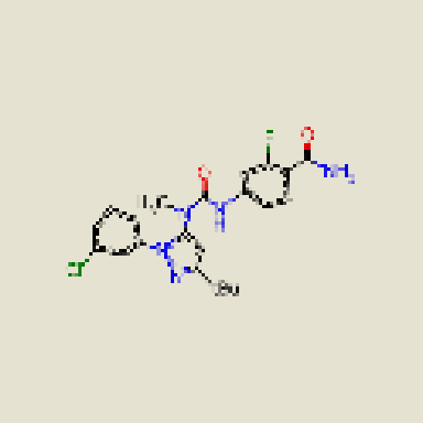 CN(C(=O)Nc1ccc(C(N)=O)c(F)c1)c1cc(C(C)(C)C)nn1-c1cccc(Cl)c1